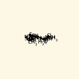 CNc1nc(Nc2ccc(C(=O)NCCNC[C@H]3CC[C@@H](CSC(C)(C)[C@H](NC(=O)C4(F)CC4)C(=O)N4CCCC4C(=O)N[C@@H](C)c4ccc(-c5scnc5C)cc4)CC3)cc2OC)ncc1Cl